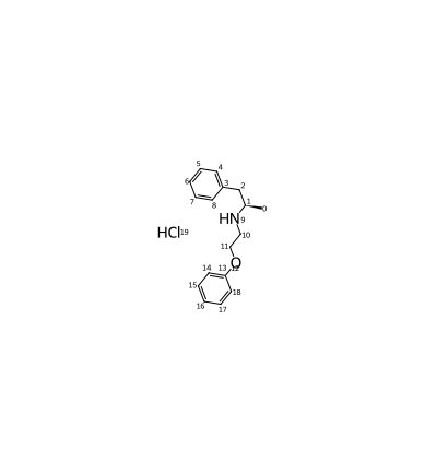 C[C@H](Cc1ccccc1)NCCOc1ccccc1.Cl